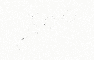 NC(=O)c1cc(C2=CC=NCC2)[nH]c1-c1ccc(N2CCNCC2)cc1